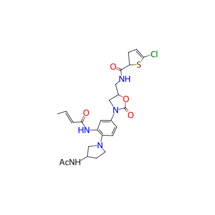 C/C=C/C(=O)Nc1cc(N2CC(CNC(=O)C3CC=C(Cl)S3)OC2=O)ccc1N1CCC(NC(C)=O)C1